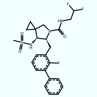 CS(=O)(=O)N[C@@H]1[C@H](Cc2cccc(-c3ccccc3)c2F)N(C(=O)NCC(F)F)CC12CC2